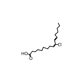 CCCCC/C=C/C(Cl)=C\CCCCCCCC(=O)O